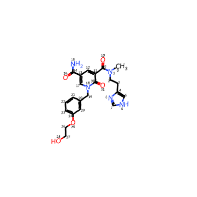 CN(CCc1c[nH]cn1)C(=O)c1cc(C(N)=O)cn(Cc2cccc(OCCO)c2)c1=O